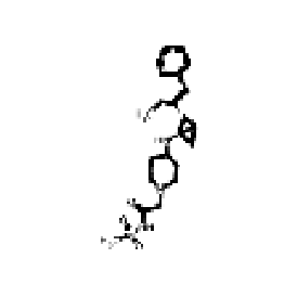 CC/C(=C\c1ccccc1)[C@@H]1C2C[C@@]21NC1CCN(CC(=O)NS(C)(=O)=O)CC1